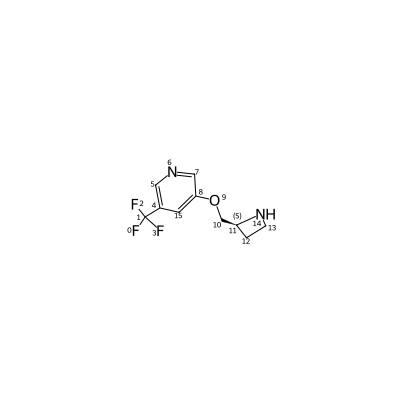 FC(F)(F)c1cncc(OC[C@@H]2CCN2)c1